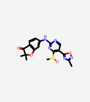 Cc1noc(-c2cnc(Nc3ccc4c(c3)OC(C)(C)C4=O)nc2[S+](C)[O-])n1